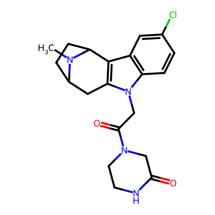 CN1C2CCC1c1c(n(CC(=O)N3CCNC(=O)C3)c3ccc(Cl)cc13)C2